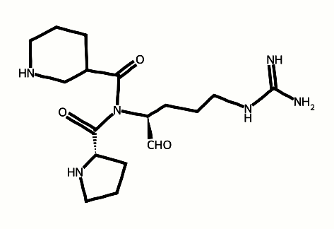 N=C(N)NCCC[C@@H](C=O)N(C(=O)C1CCCNC1)C(=O)[C@@H]1CCCN1